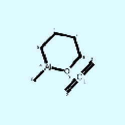 C=C=C.[CH3][Al]1[CH2]CCC[O]1